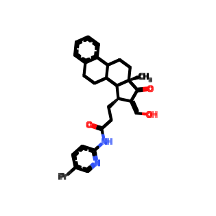 CC(C)c1ccc(NC(=O)CC[C@@H]2/C(=C/O)C(=O)[C@@]3(C)CCC4c5ccccc5CCC4C23)nc1